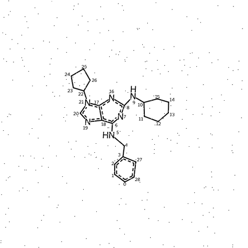 c1ccc(CNc2nc(NC3CCCCC3)nc3c2ncn3C2CCCC2)cc1